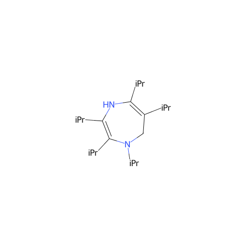 CC(C)C1=C(C(C)C)NC(C(C)C)=C(C(C)C)N(C(C)C)C1